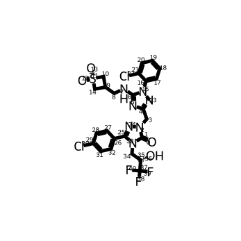 O=c1n(Cc2nc(NCC3CS(=O)(=O)C3)n(-c3ccccc3Cl)n2)nc(-c2ccc(Cl)cc2)n1C[C@H](O)C(F)(F)F